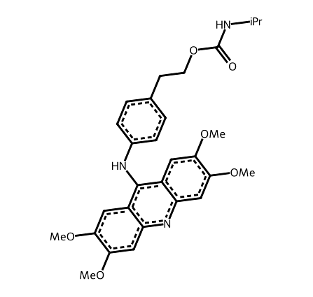 COc1cc2nc3cc(OC)c(OC)cc3c(Nc3ccc(CCOC(=O)NC(C)C)cc3)c2cc1OC